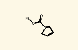 CCOC(=O)N1CC=CC1